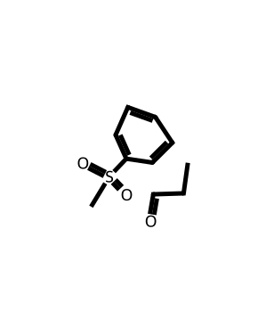 CCC=O.CS(=O)(=O)c1ccccc1